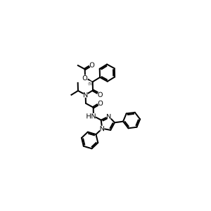 CC(=O)O[C@H](C(=O)N(CC(=O)Nc1nc(-c2ccccc2)cn1-c1ccccc1)C(C)C)c1ccccc1